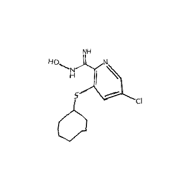 N=C(NO)c1ncc(Cl)cc1SC1CCCCC1